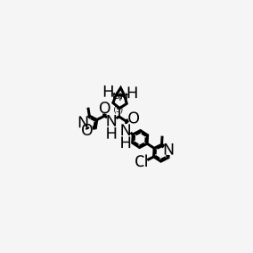 Cc1nocc1C(=O)NC(C(=O)Nc1ccc(-c2c(Cl)ccnc2C)cc1)[C@H]1C[C@@H]2C[C@@H]2C1